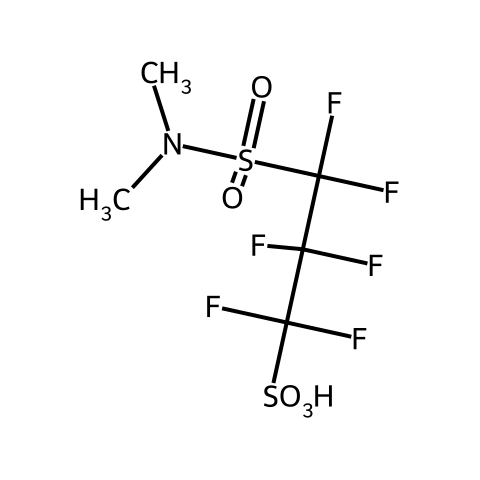 CN(C)S(=O)(=O)C(F)(F)C(F)(F)C(F)(F)S(=O)(=O)O